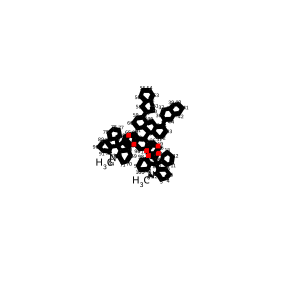 CN1c2ccccc2C(c2ccccc2)(c2ccccc2)c2c(-c3cccc4c(-c5c6cccc(-c7ccc8ccccc8c7)c6cc6c(-c7ccc8ccccc8c7)cccc56)c5cccc(-c6cccc7c6C(c6ccccc6)(c6ccccc6)c6ccccc6N7C)c5cc34)cccc21